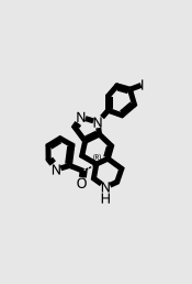 O=C(c1ccccn1)[C@@]12CNCCC1=Cc1c(cnn1-c1ccc(I)cc1)C2